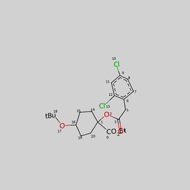 CCOC(=O)C1(OC(=O)Cc2ccc(Cl)cc2Cl)CCC(OC(C)(C)C)CC1